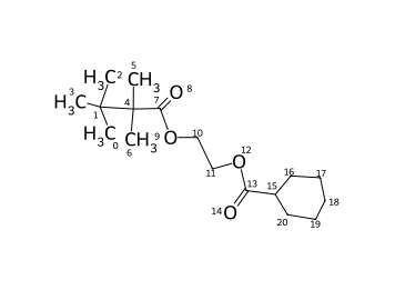 CC(C)(C)C(C)(C)C(=O)OCCOC(=O)C1CCCCC1